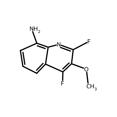 COc1c(F)nc2c(N)cccc2c1F